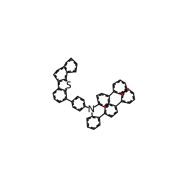 c1ccc(-c2ccc(-c3ccccc3N(c3ccc(-c4ccccc4)cc3)c3ccc(-c4cccc5c4sc4c6ccccc6ccc54)cc3)cc2)cc1